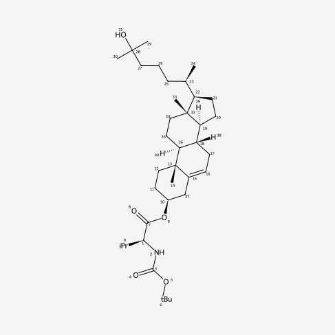 CC(C)[C@H](NC(=O)OC(C)(C)C)C(=O)O[C@H]1CC[C@@]2(C)C(=CC[C@H]3[C@@H]4CC[C@H]([C@H](C)CCCC(C)(C)O)[C@@]4(C)CC[C@@H]32)C1